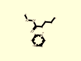 CCCCC(=O)OOC.c1cnccn1